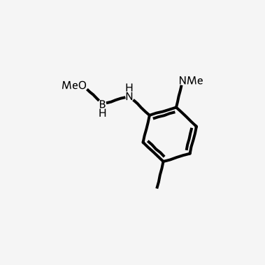 CNc1ccc(C)cc1NBOC